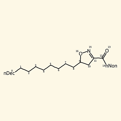 CCCCCCCCCCCCCCCCCCC1CC(C(=O)CCCCCCCCC)=NO1